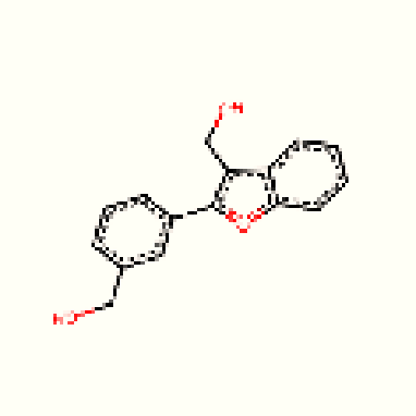 OCc1cccc(-c2oc3ccccc3c2CO)c1